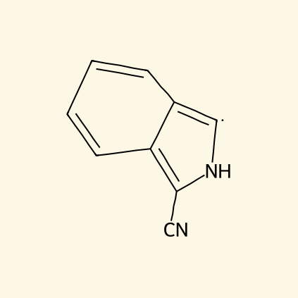 N#Cc1[nH][c]c2ccccc12